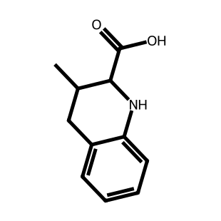 CC1Cc2ccccc2NC1C(=O)O